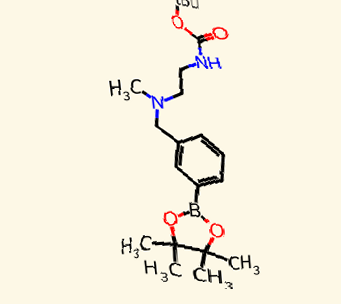 CN(CCNC(=O)OC(C)(C)C)Cc1cccc(B2OC(C)(C)C(C)(C)O2)c1